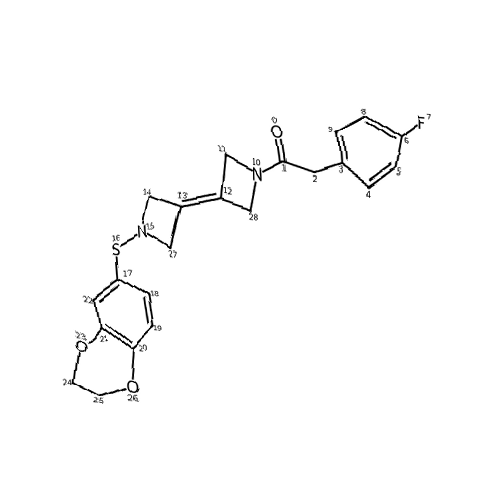 O=C(Cc1ccc(F)cc1)N1CC(=C2CN(Sc3ccc4c(c3)OCCO4)C2)C1